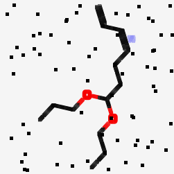 C=C/C=C\CCC(OCCC)OCCC